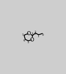 CC[CH]C1OCCCO1